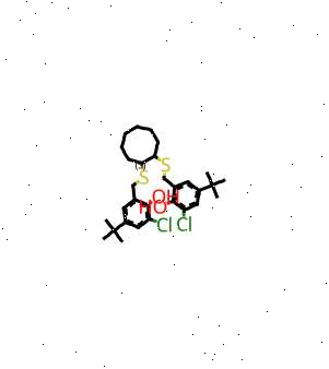 CC(C)(C)c1cc(Cl)c(O)c(CSC2CCCCCC[C@@H]2SCc2cc(C(C)(C)C)cc(Cl)c2O)c1